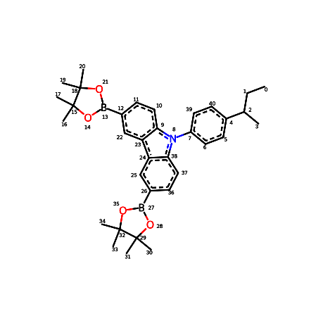 CCC(C)c1ccc(-n2c3ccc(B4OC(C)(C)C(C)(C)O4)cc3c3cc(B4OC(C)(C)C(C)(C)O4)ccc32)cc1